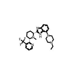 CCN1CCN(c2cccc3nc([C@H]4CCC[C@@H](c5ncccc5C(F)(F)F)N4C)[nH]c23)CC1